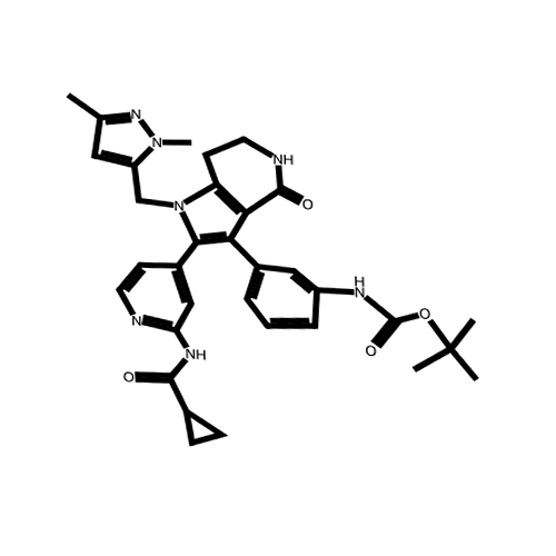 Cc1cc(Cn2c3c(c(-c4cccc(NC(=O)OC(C)(C)C)c4)c2-c2ccnc(NC(=O)C4CC4)c2)C(=O)NCC3)n(C)n1